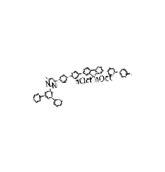 CCCCCCCCC1(CCCCCCCC)c2cc(-c3ccc(-c4ccc(C)cc4)cc3)ccc2-c2ccc(-c3ccc(-c4ccc(-c5cc(C)nc(-c6cc(-c7ccccc7)cc(-c7ccccc7)c6)n5)cc4)cc3)cc21